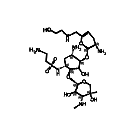 CN[C@@H]1[C@@H](O)[C@@H](O[C@@H]2C(O)[C@H](O[C@H]3OC(CNCCO)=CC[C@H]3N)[C@@H](N)C[C@H]2NS(=O)(=O)CCN)OC[C@]1(C)O